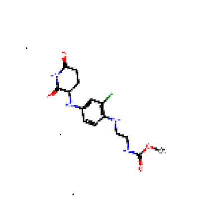 CC(C)(C)OC(=O)NCCNc1ccc(NC2CCC(=O)NC2=O)cc1F